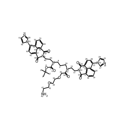 CC(C)(C)OC(=O)N(CCCN(CCN1C(=O)c2cccc3c(-n4ccnc4)ccc(c23)C1=O)C(=O)COCCOCCN)CCN1C(=O)c2cccc3c(-n4ccnc4)ccc(c23)C1=O